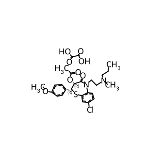 CCCN(C)CCN1C(=O)[C@@H](OC(C)=O)[C@@H](c2ccc(OC)cc2)Sc2cc(Cl)ccc21.O=C(O)C(=O)O